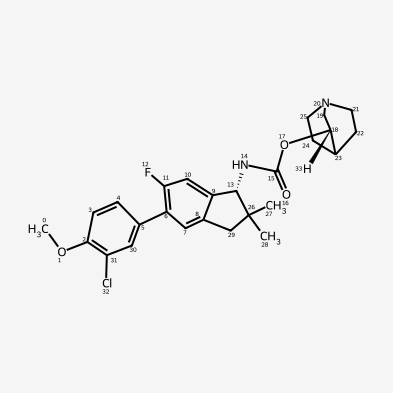 COc1ccc(-c2cc3c(cc2F)[C@H](NC(=O)O[C@@H]2CN4CCC2CC4)C(C)(C)C3)cc1Cl